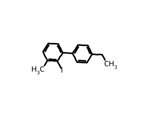 CCc1ccc(-c2cccc(C)c2I)cc1